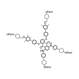 CCCCCC1CCC(COc2c(C)cc(-c3ccc(Sc4ccc(Sc5ccc(-c6cc(C)c(OCC7CCC(CCCCC)CC7)c(C)c6)cc5)c5c4C(=O)c4c(Nc6ccc(C7CCC(CCCCC)CC7)cc6)ccc(Nc6ccc(C7CCC(CCCCC)CC7)cc6)c4C5=O)cc3)cc2C)CC1